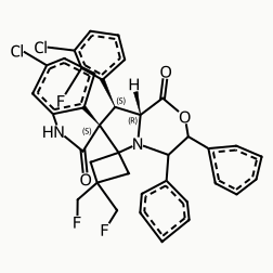 O=C1OC(c2ccccc2)C(c2ccccc2)N2[C@@H]1[C@H](c1cccc(Cl)c1F)[C@@]1(C(=O)Nc3cc(Cl)ccc31)C21CC(CF)(CF)C1